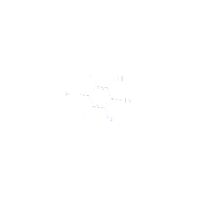 Cc1c(F)c(C)c(C(C)C)c(N)c1F